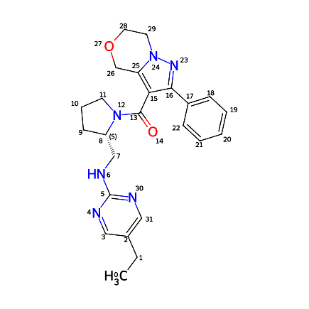 CCc1cnc(NC[C@@H]2CCCN2C(=O)c2c(-c3ccccc3)nn3c2COCC3)nc1